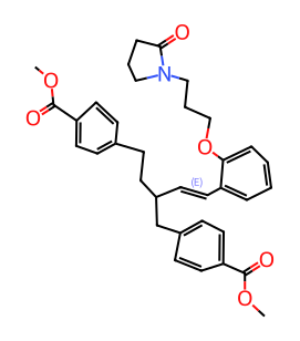 COC(=O)c1ccc(CCC(/C=C/c2ccccc2OCCCN2CCCC2=O)Cc2ccc(C(=O)OC)cc2)cc1